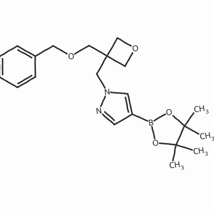 CC1(C)OB(c2cnn(CC3(COCc4ccccc4)COC3)c2)OC1(C)C